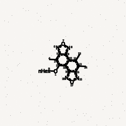 CCCCCCOc1c(C)c2nonc2c2c(C)c(C)c3nonc3c12